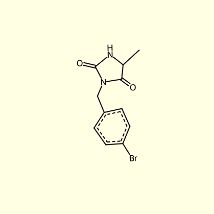 CC1NC(=O)N(Cc2ccc(Br)cc2)C1=O